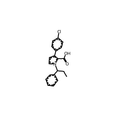 CCC(c1ccccc1)n1ccc(-c2ccc(Cl)cc2)c1C(=O)O